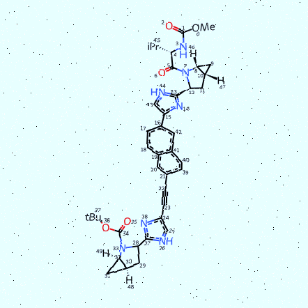 COC(=O)N[C@H](C(=O)N1[C@@H]2C[C@@H]2C[C@H]1c1nc(-c2ccc3cc(C#Cc4c[nH]c(C5C[C@H]6C[C@H]6N5C(=O)OC(C)(C)C)n4)ccc3c2)c[nH]1)C(C)C